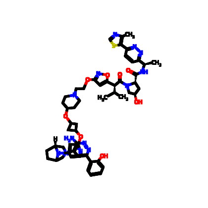 Cc1ncsc1-c1ccc([C@@H](C)NC(=O)[C@@H]2C[C@@H](O)CN2C(=O)[C@@H](c2cc(OCCN3CCC(OC4CC(Oc5cc(N6C7CC[C@@H]6CN(c6cc(-c8ccccc8O)nnc6N)C7)ccn5)C4)CC3)no2)C(C)C)nn1